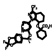 C[C@@H](Oc1cc(-n2nc(C(F)(F)F)c3c2C(OC2(C(=O)O)CCCCC2)CCC3)ccn1)c1cc2c(cn1)OC(F)(F)O2